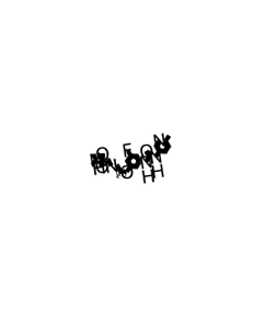 Cc1ccc(NC(=O)Nc2cc(F)cc(O[C@H](C)CNCS(=O)(=O)N(C)C)c2)cn1